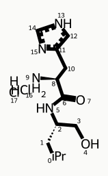 CC(C)C[C@@H](CO)NC(=O)[C@@H](N)Cc1c[nH]cn1.Cl.Cl